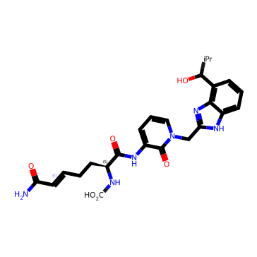 CC(C)C(O)c1cccc2[nH]c(Cn3cccc(NC(=O)[C@H](CC/C=C/C(N)=O)NC(=O)O)c3=O)nc12